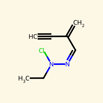 C#CC(=C)/C=N\N(Cl)CC